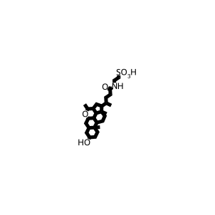 CC(CCC(=O)NCCS(=O)(=O)O)C1CC2C(C)OC3CC4CC(O)CCC4(C)C4CCC1(C)C2C34